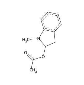 CC(=O)OC1Cc2ccccc2N1C